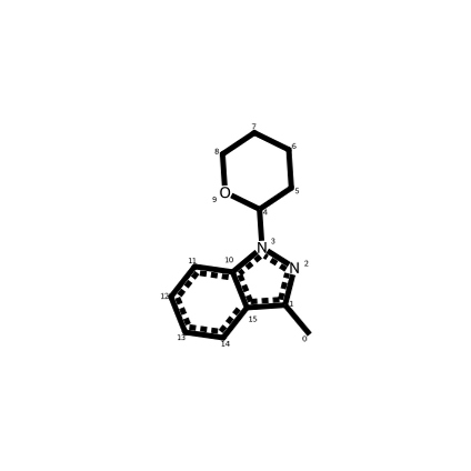 Cc1nn(C2CCCCO2)c2ccccc12